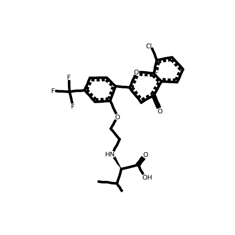 CC(C)[C@@H](NCCOc1cc(C(F)(F)F)ccc1-c1cc(=O)c2cccc(Cl)c2o1)C(=O)O